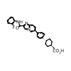 O=C(O)C[C@H]1CC[C@H](c2ccc(-c3ccc4nc(C(=O)Nc5ccccc5F)cn4c3)cc2)CC1